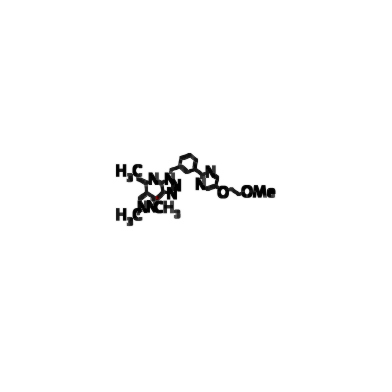 CC=C1N=NN(Cc2cccc(-c3ncc(OCCOC)cn3)c2)/C1=N/C(=C\C)c1cnn(C)c1